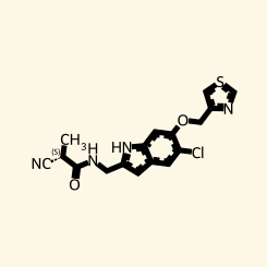 C[C@@H](C#N)C(=O)NCc1cc2cc(Cl)c(OCc3cscn3)cc2[nH]1